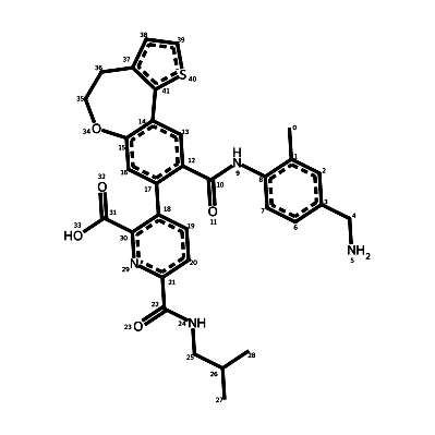 Cc1cc(CN)ccc1NC(=O)c1cc2c(cc1-c1ccc(C(=O)NCC(C)C)nc1C(=O)O)OCCc1ccsc1-2